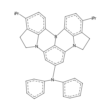 CC(C)c1ccc2c3c1CCN3c1cc(N(c3ccccc3)c3ccccc3)cc3c1B2c1ccc(C(C)C)c2c1N3CC2